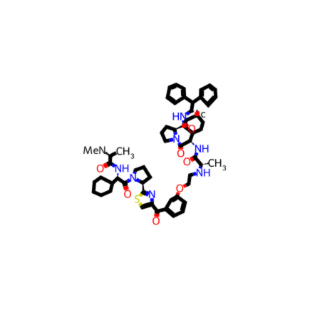 CN[C@@H](C)C(=O)N[C@H](C(=O)N1CCC[C@H]1c1nc(C(=O)c2cccc(OCCN[C@@H](C)C(=O)N[C@H](C(=O)N3CCC[C@H]3C(=O)N[C@H](C(C)=O)C(c3ccccc3)c3ccccc3)C3CCCCC3)c2)cs1)C1CCCCC1